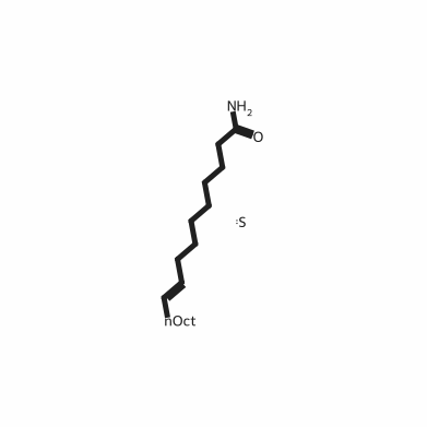 CCCCCCCCC=CCCCCCCCC(N)=O.[S]